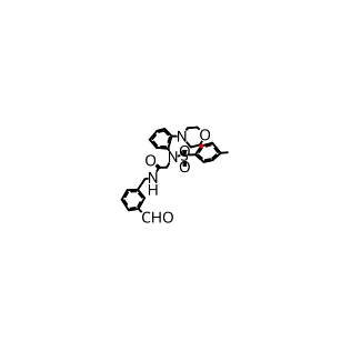 Cc1ccc(S(=O)(=O)N(CC(=O)NCc2cccc(C=O)c2)c2ccccc2N2CCOCC2)cc1